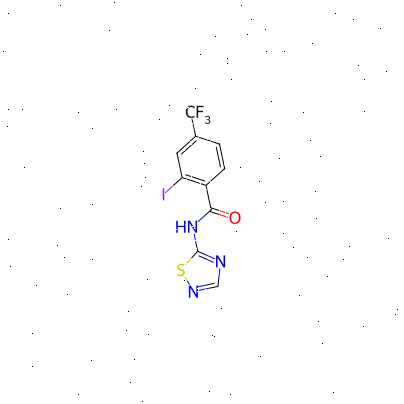 O=C(Nc1ncns1)c1ccc(C(F)(F)F)cc1I